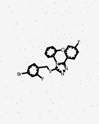 Fc1ccc(-c2nnc(SCc3ccc(Br)cc3F)n2-c2ccccc2Cl)cc1